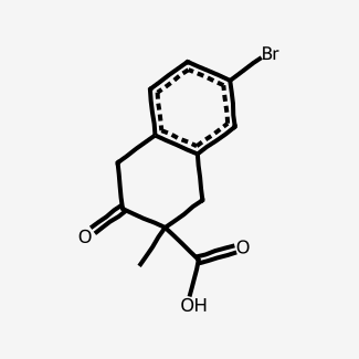 CC1(C(=O)O)Cc2cc(Br)ccc2CC1=O